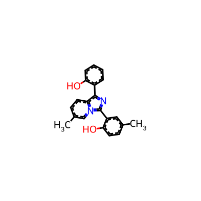 Cc1ccc(O)c(-c2nc(-c3ccccc3O)c3ccc(C)cn23)c1